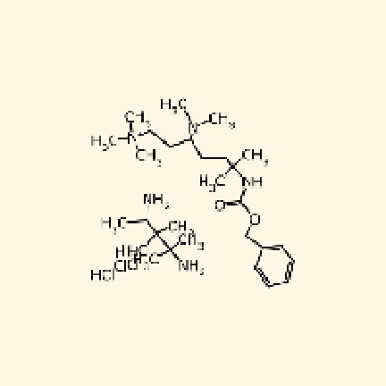 CC(N)C(C)(C)C(C)(C)N.CN(C)C(CCC(C)(C)NC(=O)OCc1ccccc1)CC[N+](C)(C)C.Cl.Cl.Cl